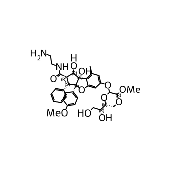 COc1ccc([C@@]23Oc4cc(OC5O[C@@H]([C@H](O)CO)CO[C@H]5OC)cc(C)c4[C@]2(O)[C@H](O)[C@H](C(=O)NCCN)[C@H]3c2ccccc2)cc1